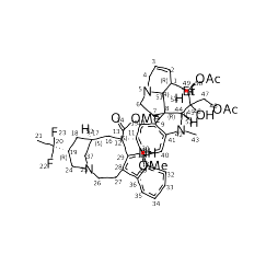 CC[C@]12C=CCN3CC[C@@]4(c5cc([C@@]6(C(=O)OC)C[C@@H]7C[C@@H](C(C)(F)F)CN(CCc8c6[nH]c6ccccc86)C7)c(OC)cc5N(C)[C@H]4C(O)(COC(C)=O)[C@@H]1OC(C)=O)[C@@H]32